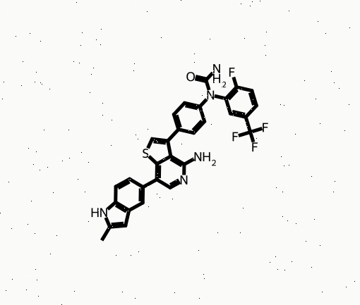 Cc1cc2cc(-c3cnc(N)c4c(-c5ccc(N(C(N)=O)c6cc(C(F)(F)F)ccc6F)cc5)csc34)ccc2[nH]1